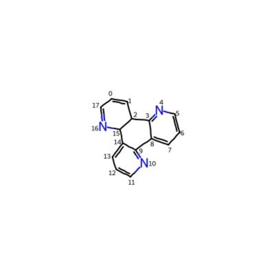 C1=CC2c3ncccc3-c3ncccc3C2N=C1